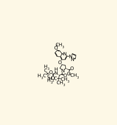 COC(=O)[C@@H]1C[C@@H](Oc2cc(-n3cccn3)nc3cc(OC)ccc23)CN1C(=O)[C@@H](NC(=O)OC(C)(C)C)C(C)(C)C